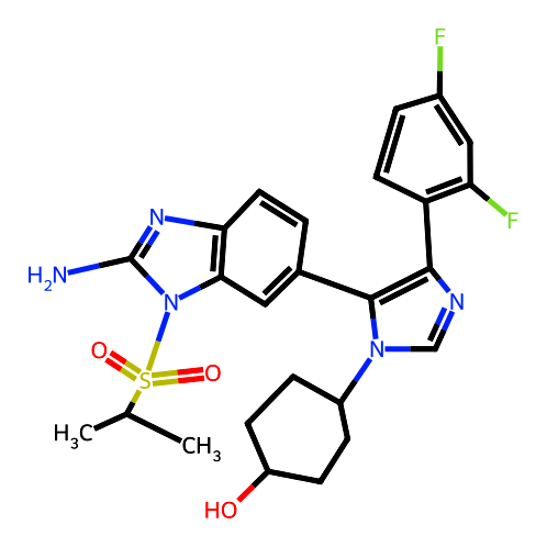 CC(C)S(=O)(=O)n1c(N)nc2ccc(-c3c(-c4ccc(F)cc4F)ncn3C3CCC(O)CC3)cc21